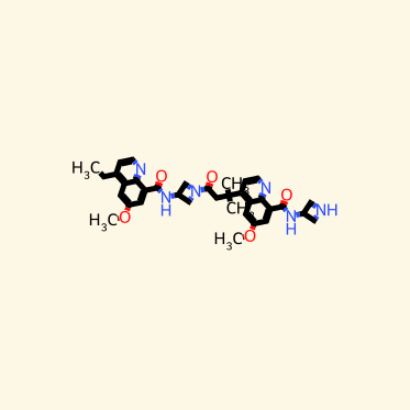 CCc1ccnc2c(C(=O)NC3CN(C(=O)CC(C)(C)c4ccnc5c(C(=O)NC6CNC6)cc(OC)cc45)C3)cc(OC)cc12